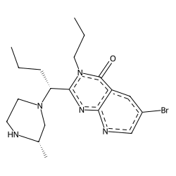 CCC[C@H](c1nc2ncc(Br)cc2c(=O)n1CCC)N1CCN[C@@H](C)C1